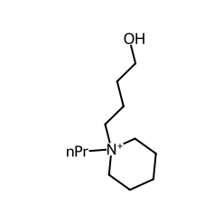 CCC[N+]1(CCCCO)CCCCC1